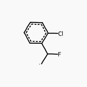 [CH2]C(F)c1ccccc1Cl